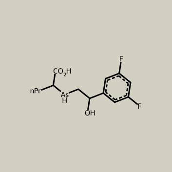 CCCC([AsH]CC(O)c1cc(F)cc(F)c1)C(=O)O